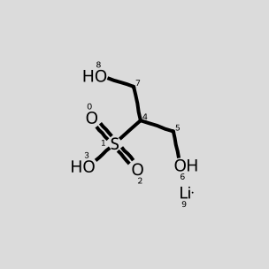 O=S(=O)(O)C(CO)CO.[Li]